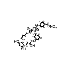 O=C(CCC/C=C\C[C@@H]1[C@@H](/C=C/[C@@H](O)COc2cccc(C(F)(F)F)c2)[C@H](O)C[C@@H]1O)NCC(=O)Oc1ccc(CO[N+](=O)[O-])cc1